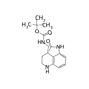 CC(C)(C)OC(=O)NCC12CCNc3cccc(c31)NC2=O